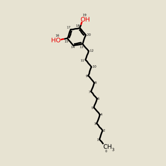 CCCCCCCCCCCCCc1cc(O)cc(O)c1